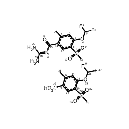 Cc1cc(OC(F)F)c(S(C)(=O)=O)cc1C(=O)N=C(N)N.Cc1cc(OC(F)F)c(S(C)(=O)=O)cc1C(=O)O